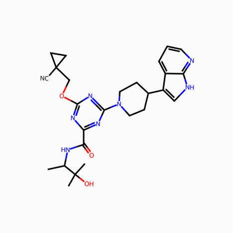 CC(NC(=O)c1nc(OCC2(C#N)CC2)nc(N2CCC(c3c[nH]c4ncccc34)CC2)n1)C(C)(C)O